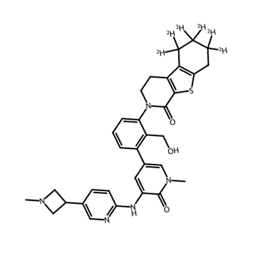 [2H]C1([2H])Cc2sc3c(c2C([2H])([2H])C1([2H])[2H])CCN(c1cccc(-c2cc(Nc4ccc(C5CN(C)C5)cn4)c(=O)n(C)c2)c1CO)C3=O